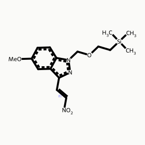 COc1ccc2c(c1)c(/C=C/[N+](=O)[O-])nn2COCC[Si](C)(C)C